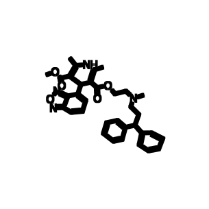 COC(=O)C1=C(C)NC(C)=C(C(=O)OCCN(C)CCC(c2ccccc2)c2ccccc2)C1c1cccc2nonc12